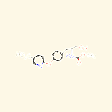 CC(C)(C)OC(=O)NC(CO)Cc1ccc(Oc2ccc(C(=O)O)cn2)cc1